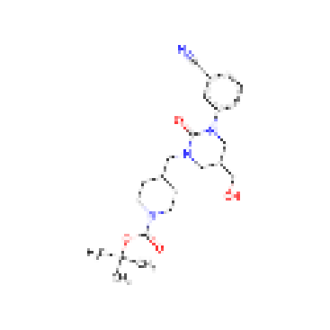 CC(C)(C)OC(=O)N1CCC(CN2CC(CO)CN(c3cccc(C#N)c3)C2=O)CC1